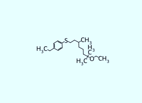 CCOC(C)(C)CCCC(C)CCSc1ccc(CC)cc1